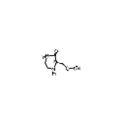 CC(C)(C)OC[C@H]1NCCNC1=O